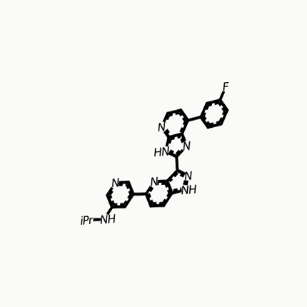 CC(C)Nc1cncc(-c2ccc3[nH]nc(-c4nc5c(-c6cccc(F)c6)ccnc5[nH]4)c3n2)c1